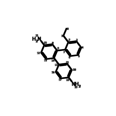 CCc1ccccc1-c1cc(N)ccc1-c1ccc(N)cc1